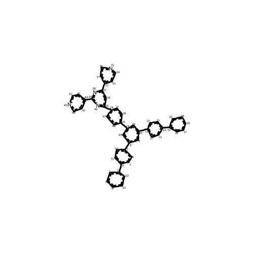 c1ccc(-c2ccc(-c3cc(-c4ccc(-c5ccccc5)cc4)cc(-c4ccc(-c5cc(-c6ccncc6)nc(-c6ccncc6)n5)cc4)c3)cc2)cc1